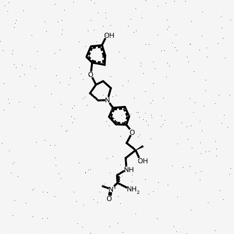 C[N+](=O)/C(N)=C/NC[C@@](C)(O)COc1ccc(N2CCC(Oc3ccc(O)cc3)CC2)cc1